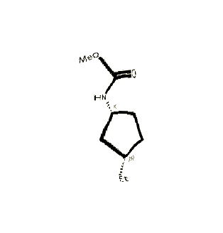 CC[C@H]1CC[C@@H](NC(=O)OC)C1